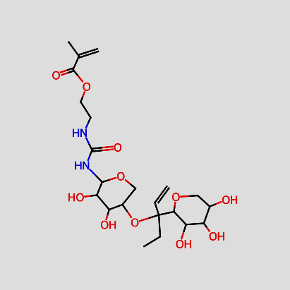 C=CC(CC)(OC1COC(NC(=O)NCCOC(=O)C(=C)C)C(O)C1O)C1OCC(O)C(O)C1O